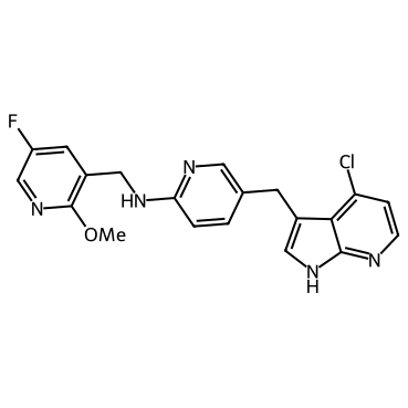 COc1ncc(F)cc1CNc1ccc(Cc2c[nH]c3nccc(Cl)c23)cn1